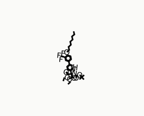 CCCCCCCCOc1ccc(-c2ccc(C(NC(=O)OC(C)(C)C)(C(=O)OCC)C(=O)OCC)nc2)cc1C(F)(F)F